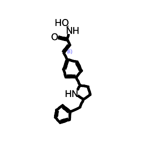 O=C(/C=C/c1ccc(C2CCC(Cc3ccccc3)N2)cc1)NO